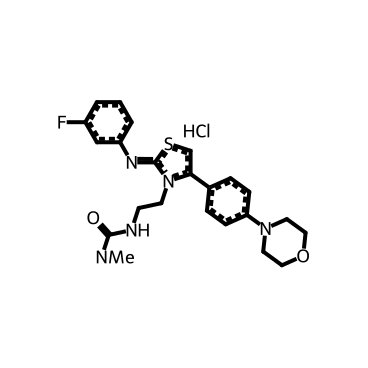 CNC(=O)NCCn1c(-c2ccc(N3CCOCC3)cc2)csc1=Nc1cccc(F)c1.Cl